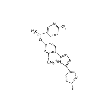 COc1cc(O[C@H](C)c2ccc(C(F)(F)F)nc2)ccc1-c1cnc(-c2ccc(F)nc2)[nH]1